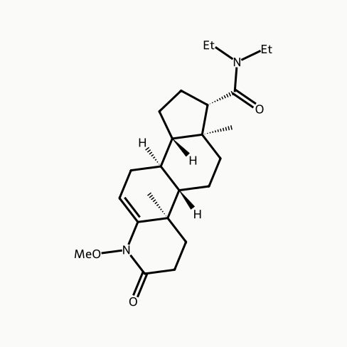 CCN(CC)C(=O)[C@H]1CC[C@H]2[C@@H]3CC=C4N(OC)C(=O)CC[C@]4(C)[C@H]3CC[C@]12C